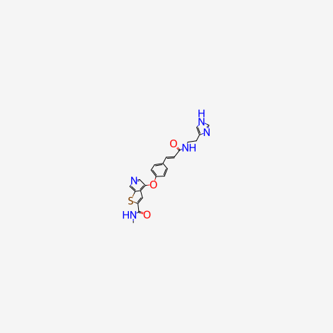 CNC(=O)c1cc2c(Oc3ccc(C=CC(=O)NCCc4c[nH]cn4)cc3)cncc2s1